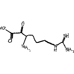 N=C(N)NCCCC(N)C(=O)C(=O)O